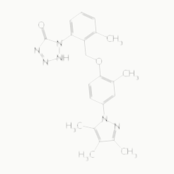 Cc1cc(-n2nc(C)c(C)c2C)ccc1OCc1c(C)cccc1-n1[nH]nnc1=O